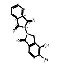 O=C1c2ccc(O)c(O)c2CN1N1C(=O)c2ccccc2C1=O